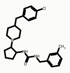 Cc1cccc(CNC(=O)NC2CCCC2N2CCC(Cc3ccc(Cl)cc3)CC2)c1